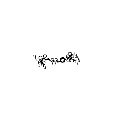 COC(=O)C(C)C(=O)CCCOC(=O)OCc1ccc(B2OC(C)(C)C(C)(C)O2)cc1